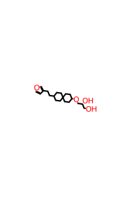 OCC(O)COC1CCC2(CCC(CCc3ccoc3)CC2)CC1